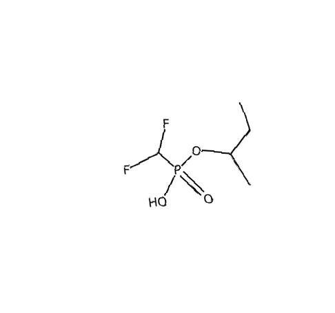 CCC(C)OP(=O)(O)C(F)F